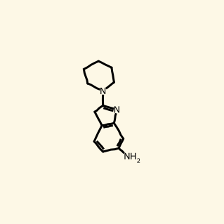 Nc1ccc2c(c1)N=C(N1CCCCC1)C2